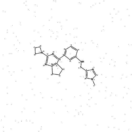 Cn1cnc(SNc2cccc(-c3nc(N4CCC4)nc4c3CCC4)c2)c1